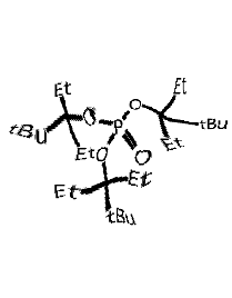 CCC(CC)(OP(=O)(OC(CC)(CC)C(C)(C)C)OC(CC)(CC)C(C)(C)C)C(C)(C)C